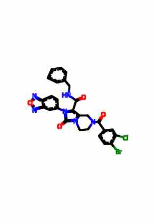 O=C(NCc1ccccc1)c1c2n(c(=O)n1-c1ccc3nonc3c1)CCN(C(=O)c1ccc(Br)c(Cl)c1)C2